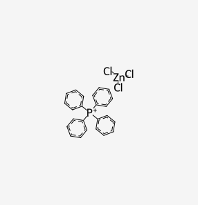 [Cl][Zn-]([Cl])[Cl].c1ccc([P+](c2ccccc2)(c2ccccc2)c2ccccc2)cc1